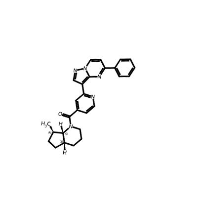 C[C@@H]1CC[C@H]2CCCN(C(=O)c3ccnc(-c4cnn5ccc(-c6ccccc6)nc45)c3)[C@H]21